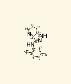 Cc1ccc(F)c(Nc2n[nH]c3cccnc23)c1